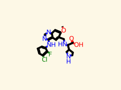 COc1cc2ncnc(Nc3cccc(Cl)c3F)c2cc1CNC(C(=O)O)C1CCNC1